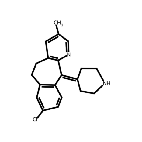 Cc1cnc2c(c1)CCc1cc(Cl)ccc1C2=C1CCNCC1